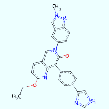 CCOc1ccc2cn(-c3ccc4nn(C)cc4c3)c(=O)c(-c3ccc(-c4c[nH]cn4)cc3)c2n1